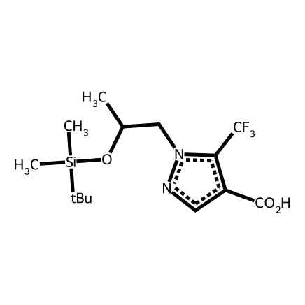 CC(Cn1ncc(C(=O)O)c1C(F)(F)F)O[Si](C)(C)C(C)(C)C